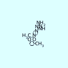 Cc1cccc(OC(C)C(=O)N2CCN(c3nc(N)n[nH]3)CC2)c1